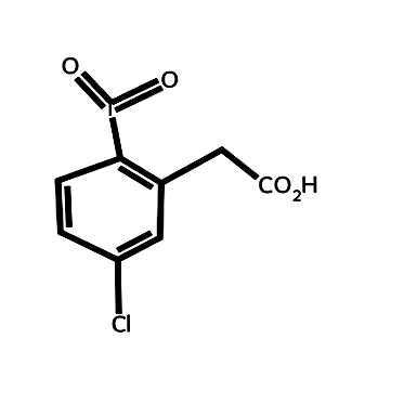 O=C(O)Cc1cc(Cl)ccc1I(=O)=O